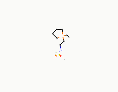 CC[PH]1(CCNS(=O)(=O)F)CCCC1